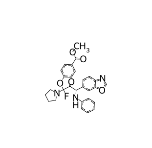 COC(=O)c1ccc(OC(F)(C(=O)C(Nc2ccccc2)c2ccc3ncoc3c2)N2CCCC2)cc1